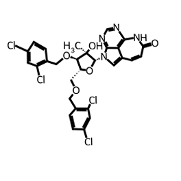 C[C@@]1(O)[C@H](OCc2ccc(Cl)cc2Cl)[C@@H](COCc2ccc(Cl)cc2Cl)O[C@H]1n1cc2c3c(ncnc31)NC(=O)C=C2